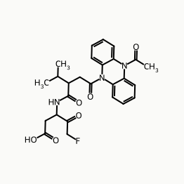 CC(=O)N1c2ccccc2N(C(=O)CC(C(=O)NC(CC(=O)O)C(=O)CF)C(C)C)c2ccccc21